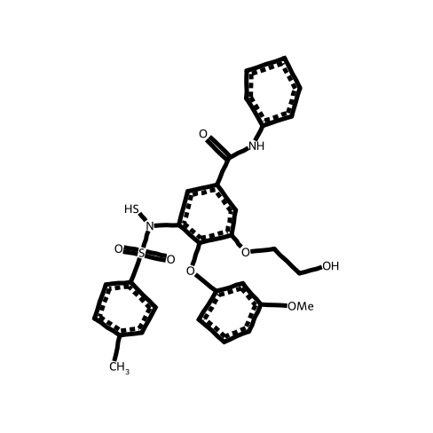 COc1cccc(Oc2c(OCCO)cc(C(=O)Nc3ccccc3)cc2N(S)S(=O)(=O)c2ccc(C)cc2)c1